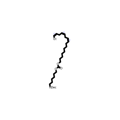 CC/C=C\C/C=C\C/C=C\CCCCCCCCOC(=O)OCCCCCCCCCCCCCCCC